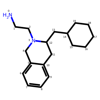 NCCN1Cc2ccccc2CC1CC1CCCCC1